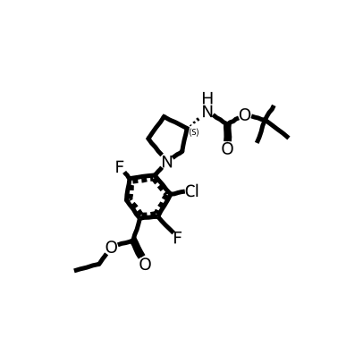 CCOC(=O)c1cc(F)c(N2CC[C@H](NC(=O)OC(C)(C)C)C2)c(Cl)c1F